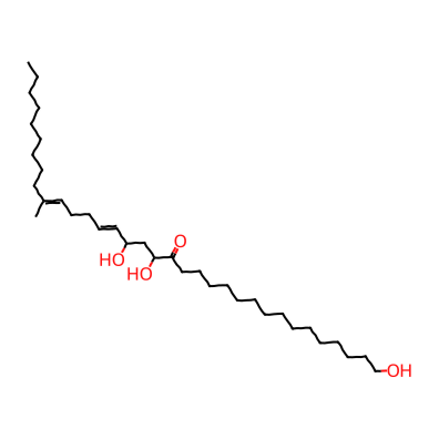 CCCCCCCCCC(C)=CCCC=CC(O)CC(O)C(=O)CCCCCCCCCCCCCCCO